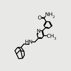 Cc1cc(CNCCC2C3CC4CC(C3)CC2C4)cnc1-c1cccc(C(N)=O)c1